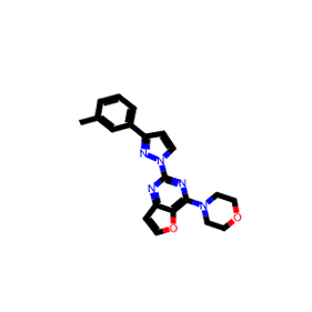 Cc1cccc(-c2ccn(-c3nc(N4CCOCC4)c4occc4n3)n2)c1